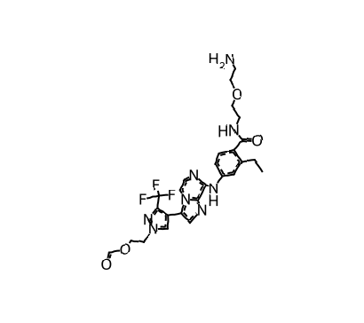 CCc1cc(Nc2nccn3c(-c4cn(CCOC=O)nc4C(F)(F)F)cnc23)ccc1C(=O)NCCOCCN